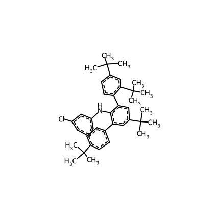 CC(C)(C)c1ccc(-c2cc(C(C)(C)C)cc(-c3ccc(C(C)(C)C)cc3C(C)(C)C)c2Nc2cccc(Cl)c2)cc1